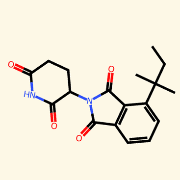 CCC(C)(C)c1cccc2c1C(=O)N(C1CCC(=O)NC1=O)C2=O